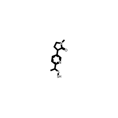 CC(SS)c1ccc(C2CCN(C)C2=O)cn1